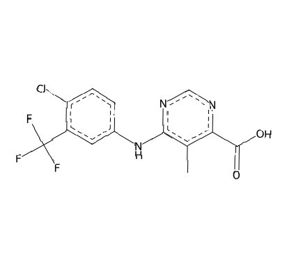 Cc1c(Nc2ccc(Cl)c(C(F)(F)F)c2)ncnc1C(=O)O